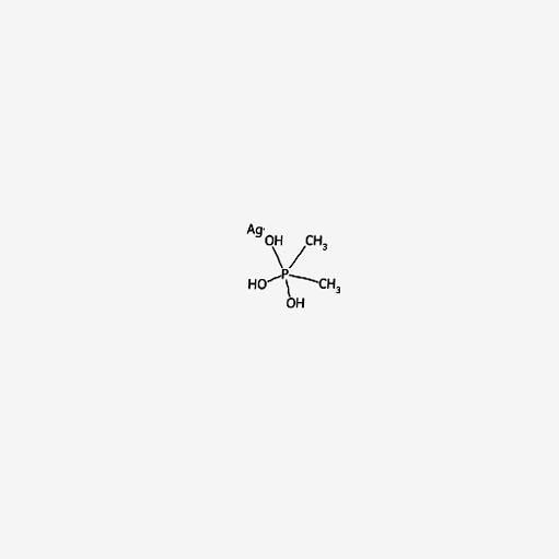 CP(C)(O)(O)O.[Ag]